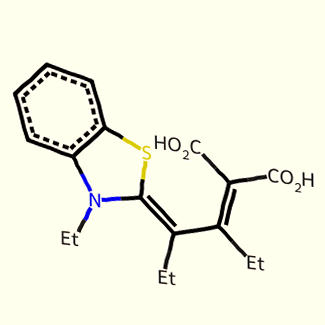 CCC(C(CC)=C1Sc2ccccc2N1CC)=C(C(=O)O)C(=O)O